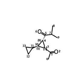 CC(=O)N1[C@@H](C(=O)C(C)C)[C@@H]1C1CC1